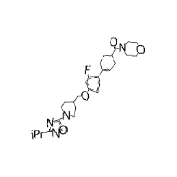 CC(C)c1noc(N2CCC(COc3ccc(C4=CCC(C(=O)N5CCOCC5)CC4)c(F)c3)CC2)n1